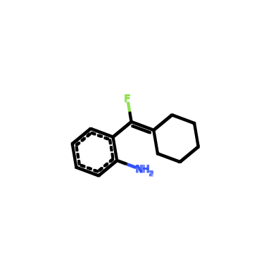 Nc1ccccc1C(F)=C1CCCCC1